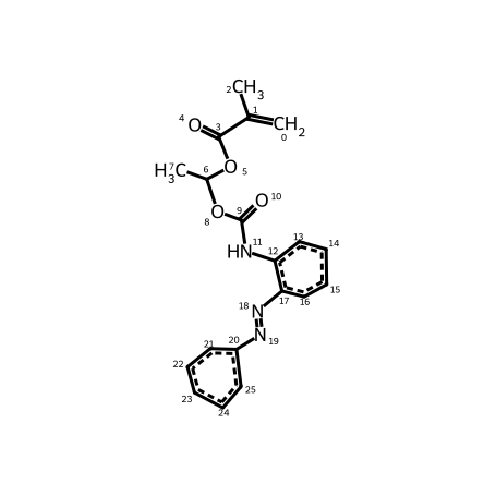 C=C(C)C(=O)OC(C)OC(=O)Nc1ccccc1N=Nc1ccccc1